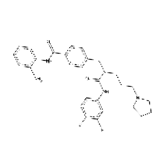 Nc1ccccc1NC(=O)c1ccc(CN(CCCN2CCCC2)C(=O)Nc2ccc(F)c(F)c2)cc1